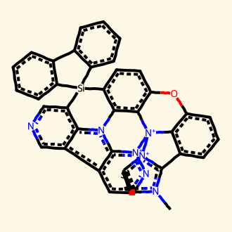 Cn1c2[n+](c3ccccc31)[N+]13c4c(cccc4-2)Oc2ccc4c(c21)-n1c2c(cncc2c2ccn[n+]3c21)[Si]41c2ccccc2-c2ccccc21